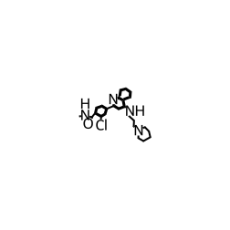 CNC(=O)c1ccc(-c2cc(NCCCN3CCCCC3)c3ccccc3n2)cc1Cl